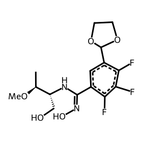 CO[C@@H](C)[C@@H](CO)N/C(=N\O)c1cc(C2OCCO2)c(F)c(F)c1F